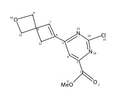 COC(=O)c1cc(C2=CC3(COC3)C2)nc(Cl)n1